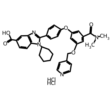 CN(C)C(=O)c1cc(OCc2ccncc2)cc(Oc2ccc(-c3nc4cc(C(=O)O)ccc4n3C3CCCCC3)cc2)c1.Cl.Cl